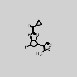 Cc1oncc1C1CC(F)c2nc(C(=O)C3CC3)nn21